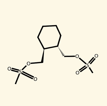 CS(=O)(=O)OC[C@H]1CCCC[C@@H]1COS(C)(=O)=O